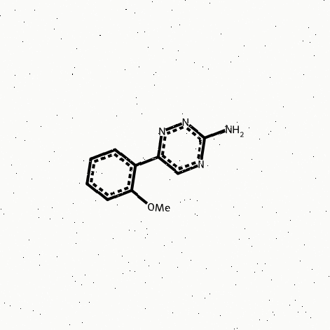 COc1ccccc1-c1cnc(N)nn1